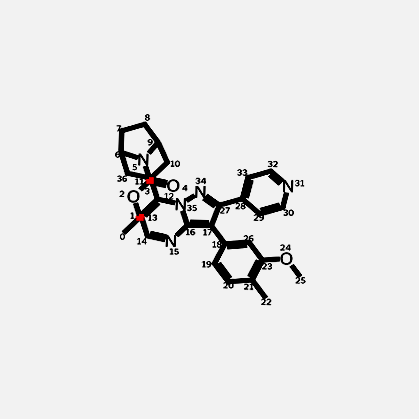 CCOC(=O)N1C2CCC1CC(c1ccnc3c(-c4ccc(C)c(OC)c4)c(-c4ccncc4)nn13)C2